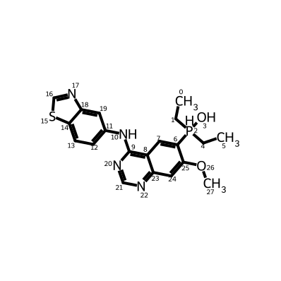 CC[PH](O)(CC)c1cc2c(Nc3ccc4scnc4c3)ncnc2cc1OC